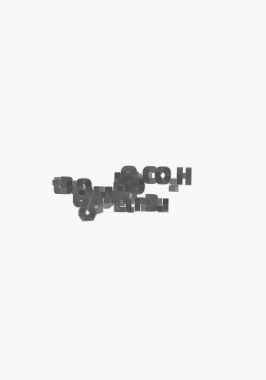 CCCCC(CC)Cc1nc(N2CCC3(CC2)Cc2ccccc2[C@H]3NC(=O)OC(C)(C)C)cnc1S(=O)(=O)CCC(=O)O